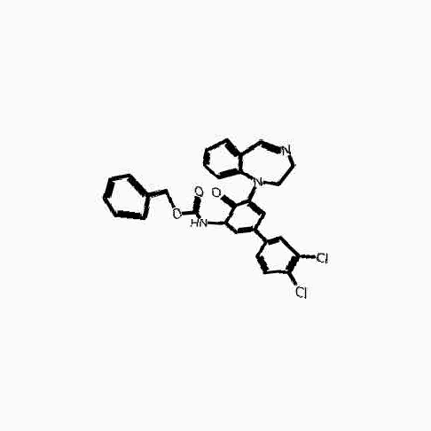 O=C(NC1C=C(c2ccc(Cl)c(Cl)c2)C=C(N2CCN=Cc3ccccc32)C1=O)OCc1ccccc1